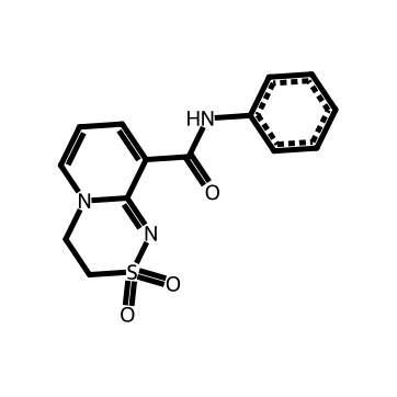 O=C(Nc1ccccc1)C1=CC=CN2CCS(=O)(=O)N=C12